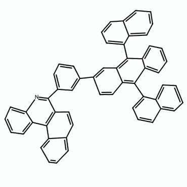 c1cc(-c2ccc3c(-c4cccc5ccccc45)c4ccccc4c(-c4cccc5ccccc45)c3c2)cc(-c2nc3ccccc3c3c2ccc2ccccc23)c1